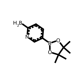 Bc1ccc(B2OC(C)(C)C(C)(C)O2)cn1